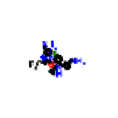 NCc1cccc(C(NCC2CC2)c2ccc(F)c(NC(=O)c3cc(C(F)(F)F)nn3-c3cccc(CN)c3)c2)c1